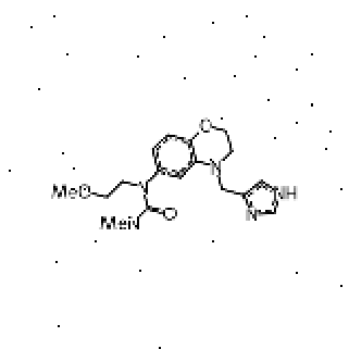 CNC(=O)N(CCOC)c1ccc2c(c1)N(Cc1c[nH]cn1)CCO2